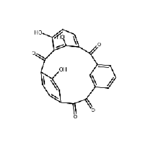 O=c1c(=O)c2cccc(c2)c(=O)c2ccc(O)c(c2O)c(=O)c2ccc1cc2O